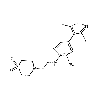 Cc1noc(C)c1-c1cnc(NCCN2CCS(=O)(=O)CC2)c([N+](=O)[O-])c1